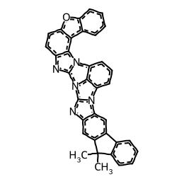 CC1(C)c2ccccc2-c2cc3c(cc21)nc1n3c2cccc3c2n1c1nc2ccc4oc5ccccc5c4c2n31